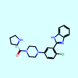 O=C([C@@H]1CCCN1)N1CCN(c2ccc(Cl)c(-c3nc4ccccc4[nH]3)c2)CC1